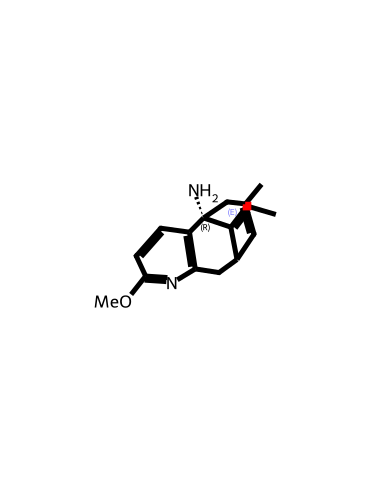 C/C=C1\C2C=C(C)C[C@]1(N)c1ccc(OC)nc1C2